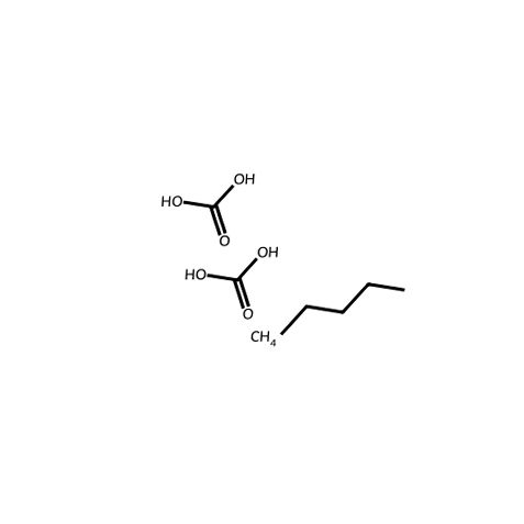 C.CCCCC.O=C(O)O.O=C(O)O